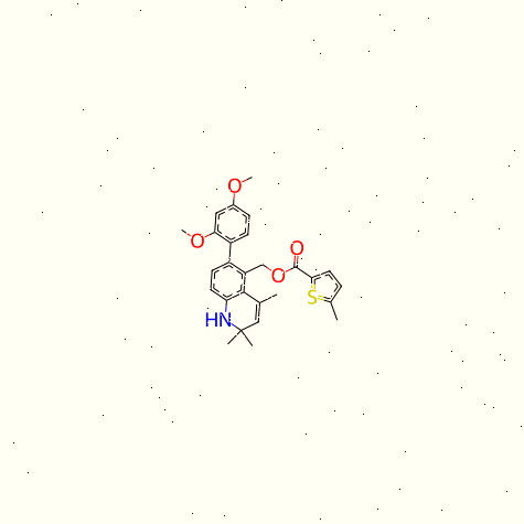 COc1ccc(-c2ccc3c(c2COC(=O)c2ccc(C)s2)C(C)=CC(C)(C)N3)c(OC)c1